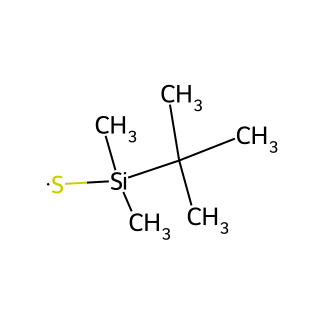 CC(C)(C)[Si](C)(C)[S]